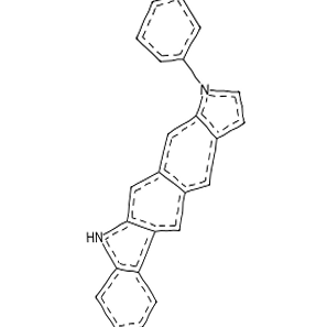 c1ccc(-n2ccc3cc4cc5c(cc4cc32)[nH]c2ccccc25)cc1